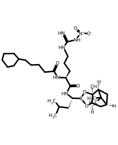 CC(C)C[C@H](NC(=O)[C@H](CCCNC(=N)N[N+](=O)[O-])NC(=O)CCCCC1CCCCC1)B1O[C@@H]2C[C@@H]3C[C@@H](C3(C)C)[C@]2(C)O1